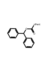 [CH2]CCCCC(=O)OC(c1ccccc1)c1ccccc1